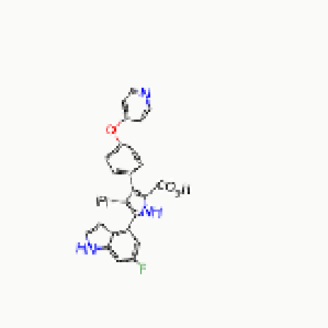 CC(C)c1c(-c2cc(F)cc3[nH]ccc23)[nH]c(C(=O)O)c1-c1ccc(Oc2ccncc2)cc1